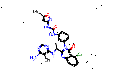 CC(Nc1ncnc(N)c1C#N)c1nc2cccc(Cl)c2c(=O)n1-c1cccc(NC(=O)Nc2cc(C(C)(C)C)on2)c1